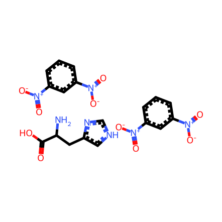 NC(Cc1c[nH]cn1)C(=O)O.O=[N+]([O-])c1cccc([N+](=O)[O-])c1.O=[N+]([O-])c1cccc([N+](=O)[O-])c1